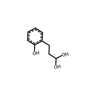 Oc1ccccc1CCC(O)O